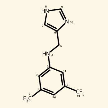 FC(F)(F)c1cc(NCc2c[nH]cn2)cc(C(F)(F)F)c1